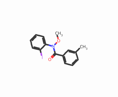 CON(C(=O)c1cccc(C)c1)c1ccccc1I